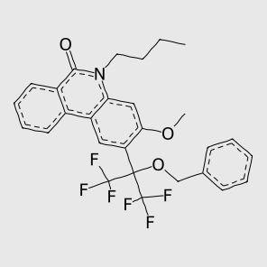 CCCCn1c(=O)c2ccccc2c2cc(C(OCc3ccccc3)(C(F)(F)F)C(F)(F)F)c(OC)cc21